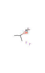 CC(C)O.[Al+3].[I-].[I-].[I-]